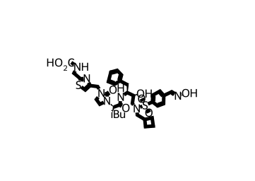 CC[C@H](C)[C@@H](C(=O)N[C@@H](Cc1ccccc1)[C@H](O)CN(CC1CCC1)S(=O)(=O)c1ccc(/C=N/O)cc1)N1CCN(Cc2csc(CNC(=O)O)n2)C1=O